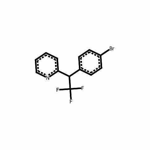 FC(F)(F)C(c1ccc(Br)cc1)c1ccccn1